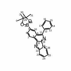 CC1(C)OB(c2ccc3c(c2)c(-c2ccccc2)nc2c3nc3ccccn32)OC1(C)C